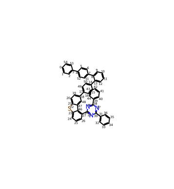 c1ccc(-c2ccc(-c3ccccc3-c3ccc(-c4ccc5sc6cccc(-c7nc(-c8ccccc8)nc(-c8ccccc8)n7)c6c5c4)cc3)cc2)cc1